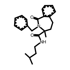 CC(C)CCNC(=O)C1(C)CCc2ccccc2C(=O)N1Cc1ccccc1